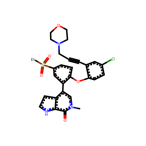 CCS(=O)(=O)c1ccc(Oc2ccc(Cl)cc2C#CCN2CCOCC2)c(-c2cn(C)c(=O)c3[nH]ccc23)c1